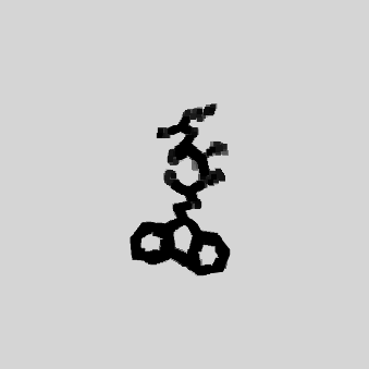 CCC(OC(=O)[C@@H](NC(=O)OCC1c2ccccc2-c2ccccc21)C(C)C)C(=O)O